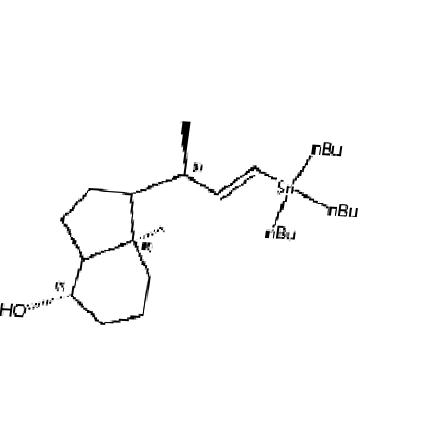 CCC[CH2][Sn]([CH]=C[C@H](C)C1CCC2[C@@H](O)CCC[C@]12C)([CH2]CCC)[CH2]CCC